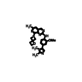 COc1cc(-c2cnc(C)n2C)ccc1Nc1ncc2cc(C)nc(N3CC4(CCO4)C3)c2n1